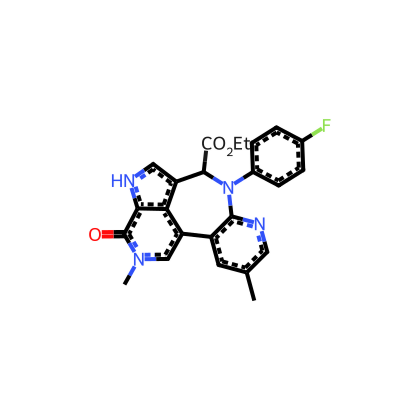 CCOC(=O)C1c2c[nH]c3c(=O)n(C)cc(c23)-c2cc(C)cnc2N1c1ccc(F)cc1